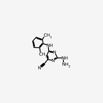 Cc1cccc(C)c1Nc1cc(C#N)nc(NN)n1